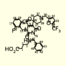 O=C(O)CCCN[C@H](Cn1c(=O)c2c(n(Cc3c(F)cccc3C(F)(F)F)c1=O)COC21CCN(Cc2ccc(C(F)(F)F)o2)CC1)c1ccccc1